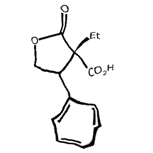 CC[C@]1(C(=O)O)C(=O)OCC1c1ccccc1